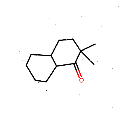 CC1(C)CCC2CCCCC2C1=O